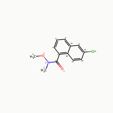 CON(C)C(=O)c1cccc2cc(Cl)ccc12